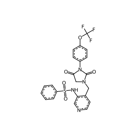 O=C1CN(Cc2ccncc2NS(=O)(=O)c2ccccc2)C(=O)N1c1ccc(OC(F)(F)F)cc1